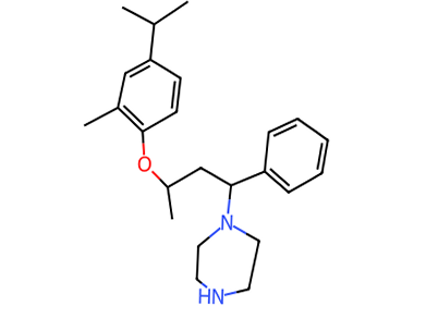 Cc1cc(C(C)C)ccc1OC(C)CC(c1ccccc1)N1CCNCC1